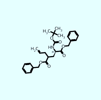 C=CCC(C[C@@H](NC(=O)OC(C)(C)C)C(=O)OCc1ccccc1)C(=O)OCc1ccccc1